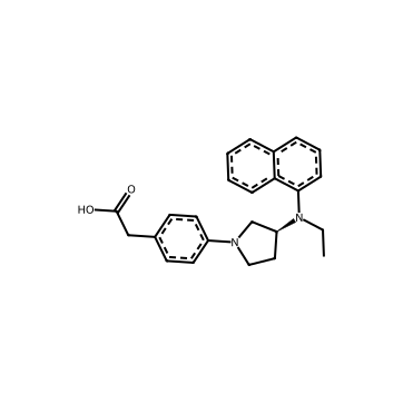 CCN(c1cccc2ccccc12)[C@H]1CCN(c2ccc(CC(=O)O)cc2)C1